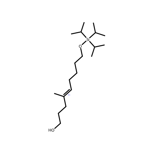 C/C(=C\CCCCO[Si](C(C)C)(C(C)C)C(C)C)CCCO